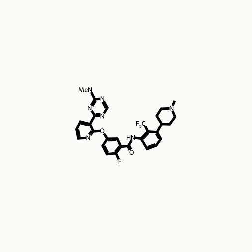 CNc1ncnc(-c2cccnc2Oc2ccc(F)c(C(=O)Nc3cccc(C4CCN(C)CC4)c3C(F)(F)F)c2)n1